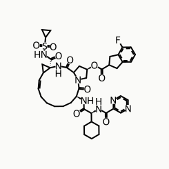 O=C(N[C@H](C(=O)N[C@H]1CCCCC/C=C\C2C[C@@]2(C(=O)NS(=O)(=O)C2CC2)NC(=O)C2C[C@@H](OC(=O)C3Cc4cccc(F)c4C3)CN2C1=O)C1CCCCC1)c1cnccn1